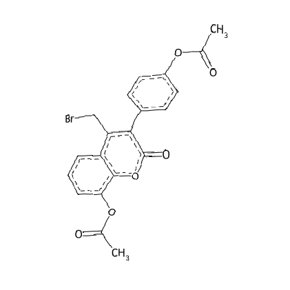 CC(=O)Oc1ccc(-c2c(CBr)c3cccc(OC(C)=O)c3oc2=O)cc1